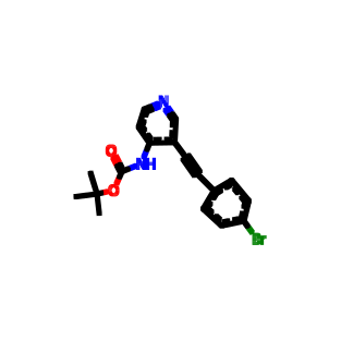 CC(C)(C)OC(=O)Nc1ccncc1C#Cc1ccc(Br)cc1